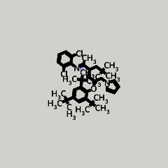 C/C(=N\c1c(Cl)cccc1Cl)C(CC(Cn1cccc1)Oc1c(C(C)(C)C)cc(C(C)(C)C)cc1C(C)(C)C)CC(C)(C)C